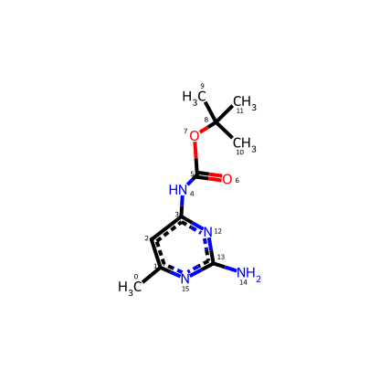 Cc1cc(NC(=O)OC(C)(C)C)nc(N)n1